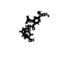 C[S+]([O-])c1ncc(C(=O)NC2C3CC4CC2CC(O)(C4)C3)c(C2CC2)n1